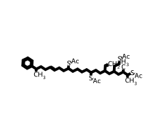 C=CC(CCC(CCCCC(CC/C=C/CCC(C)c1ccccc1)SC(C)=O)SC(C)=O)CC(CCSC(C)=O)CC(C)C(C)SC(C)=O